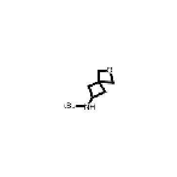 CC(C)(C)NC1CC2(COC2)C1